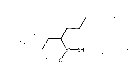 CCCC(CC)[S+]([O-])S